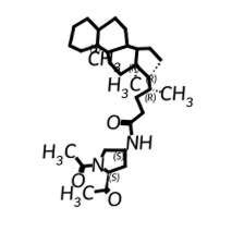 CC(=O)[C@@H]1C[C@H](NC(=O)CC[C@@H](C)[C@H]2CCC3C4CCC5CCCC[C@]5(C)C4CC[C@@]32C)CN1C(C)=O